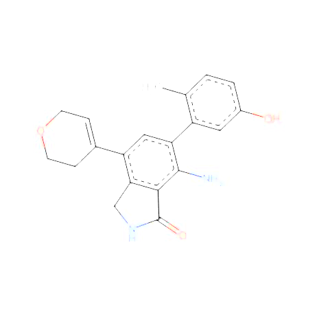 Cc1ccc(O)cc1-c1cc(C2=CCOCC2)c2c(c1N)C(=O)NC2